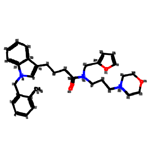 Cc1ccccc1Cn1cc(CCCC(=O)N(CCCN2CCOCC2)Cc2ccco2)c2ccccc21